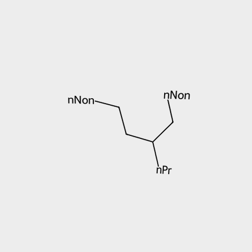 [CH2]CCC(CCCCCCCCCC)CCCCCCCCCCC